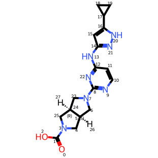 O=C(O)N1C[C@@H]2CN(c3nccc(Nc4cc(C5CC5)[nH]n4)n3)C[C@@H]2C1